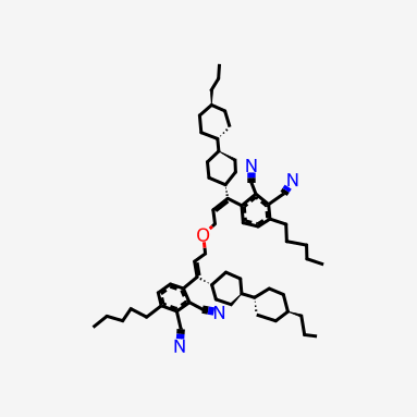 CCCCCc1ccc(C(=CCOCC=C(c2ccc(CCCCC)c(C#N)c2C#N)[C@H]2CC[C@H]([C@H]3CC[C@H](CCC)CC3)CC2)[C@H]2CC[C@H]([C@H]3CC[C@H](CCC)CC3)CC2)c(C#N)c1C#N